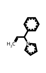 C=CC(c1ccccc1)n1cccc1